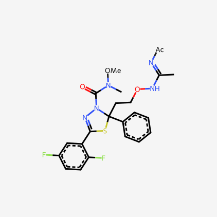 CON(C)C(=O)N1N=C(c2cc(F)ccc2F)SC1(CCONC(C)=NC(C)=O)c1ccccc1